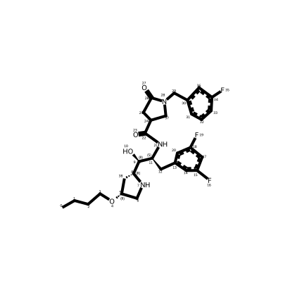 CCCCO[C@H]1CN[C@@H]([C@@H](O)[C@H](Cc2cc(F)cc(F)c2)NC(=O)C2CC(=O)N(Cc3cccc(F)c3)C2)C1